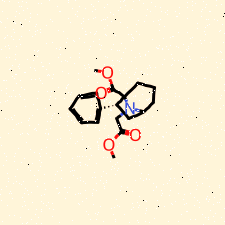 COC(=O)CN1C2CCCC1(C(=O)OC)[C@@H](c1ccccc1)C2